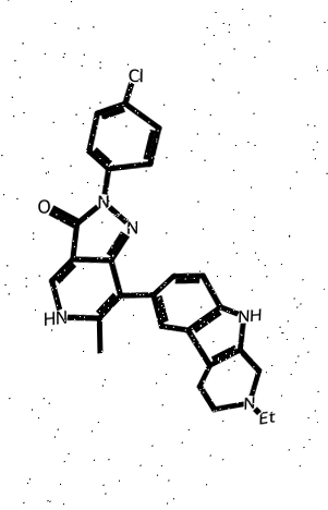 CCN1CCc2c([nH]c3ccc(-c4c5nn(-c6ccc(Cl)cc6)c(=O)c-5c[nH]c4C)cc23)C1